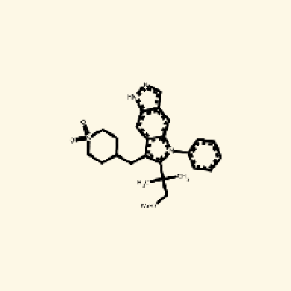 COCC(C)(C)c1c(CC2CCS(=O)(=O)CC2)c2cc3[nH]ncc3cc2n1-c1ccccc1